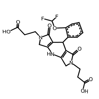 O=C(O)CCN1CC2=C(C1=O)C(c1ccccc1OC(F)F)C1=C(CN(CCC(=O)O)C1=O)N2